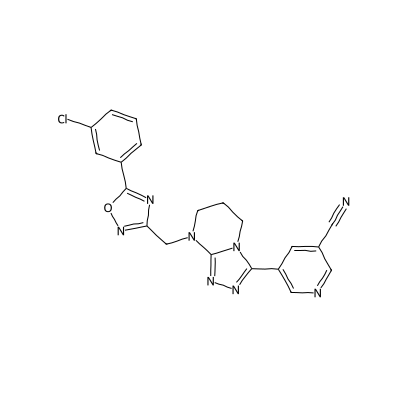 N#Cc1cncc(-c2nnc3n2CCCN3Cc2noc(-c3cccc(Cl)c3)n2)c1